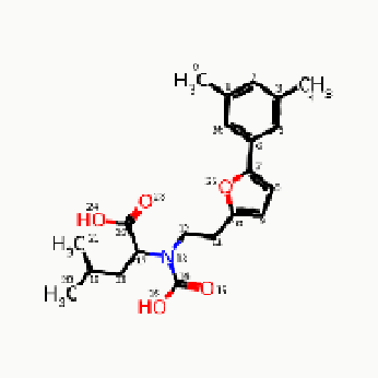 Cc1cc(C)cc(-c2ccc(CCN(C(=O)O)C(CC(C)C)C(=O)O)o2)c1